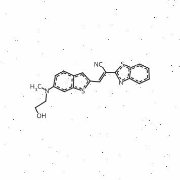 CN(CCO)c1ccc2cc(/C=C(\C#N)c3nc4ccccc4s3)sc2c1